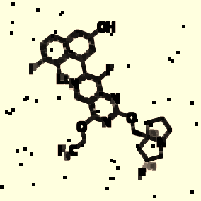 CCc1c(F)ccc2cc(O)cc(-c3ncc4c(OCC(F)(F)F)nc(OC[C@@]56CCCN5C[C@H](F)C6)nc4c3F)c12